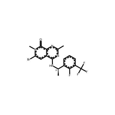 Cc1nc(N[C@H](C)c2cccc(C(F)(F)F)c2F)c2cc(Br)n(C)c(=O)c2n1